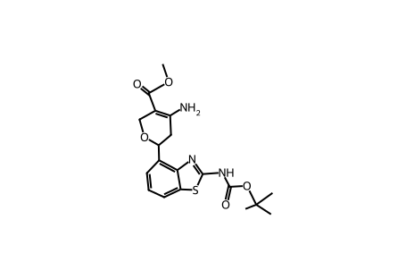 COC(=O)C1=C(N)CC(c2cccc3sc(NC(=O)OC(C)(C)C)nc23)OC1